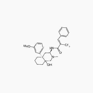 COc1cccc([C@@]23CCCCC2(O)CN(C)[C@H](NC(=O)C(=Cc2ccccc2)C(F)(F)F)C3)c1